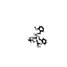 COc1ccccc1CC[P@](=O)(OCc1ccccc1)[C@H](CCC(=O)O)N[S@@+]([O-])C(C)(C)C